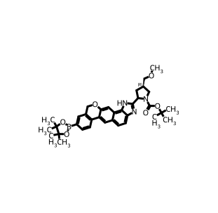 COC[C@@H]1CC(c2nc3ccc4cc5c(cc4c3[nH]2)OCc2cc(B3OC(C)(C)C(C)(C)O3)ccc2-5)N(C(=O)OC(C)(C)C)C1